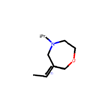 C/C=C1/COCCN(C(C)C)C1